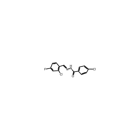 O=C(N/N=C/c1ccc(F)cc1Cl)c1ccc(Cl)cc1